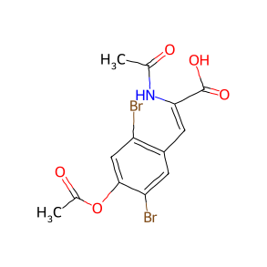 CC(=O)N/C(=C\c1cc(Br)c(OC(C)=O)cc1Br)C(=O)O